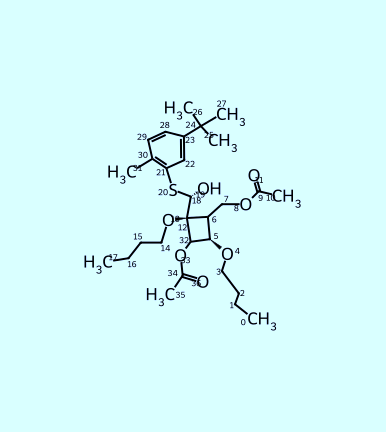 CCCCO[C@@H]1C(COC(C)=O)[C@@](OCCCC)([C@@H](O)Sc2cc(C(C)(C)C)ccc2C)C1OC(C)=O